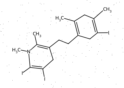 CC1=C(I)CC(CCC2=C(C)N(C)C(I)=C(I)C2)=C(C)C1